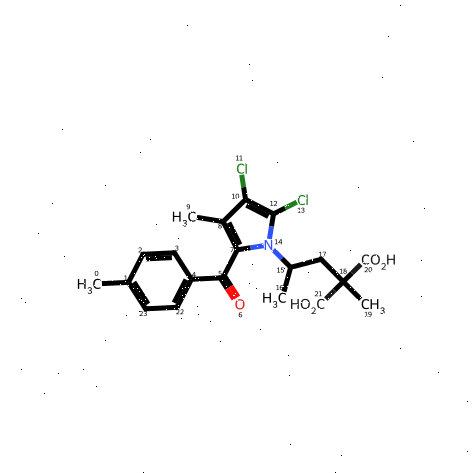 Cc1ccc(C(=O)c2c(C)c(Cl)c(Cl)n2C(C)CC(C)(C(=O)O)C(=O)O)cc1